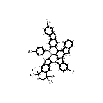 CC(C)(C)c1ccc(N2B3c4oc5cc6c(cc5c4-n4c5ccc(C(C)(C)C)cc5c5c7oc8ccccc8c7c(c3c54)-c3cc4oc5cc(C(C)(C)C)ccc5c4cc32)C(C)(C)CCC6(C)C)cc1